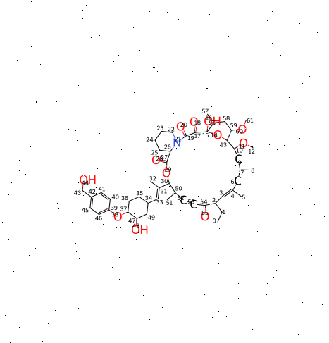 CCC1/C=C(\C)CC(C)CC(OC)C2OC(O)(C(=O)C(=O)N3CCCCC3C(=O)OC(C(C)=CC3CCC(Oc4ccc(CO)cc4)C(O)C3)C(C)CCC1=O)C(C)CC2OC